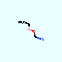 NCOBCC(=O)O